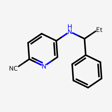 CCC(Nc1ccc(C#N)nc1)c1ccccc1